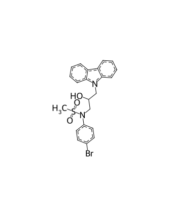 CS(=O)(=O)N(CC(O)Cn1c2ccccc2c2ccccc21)c1ccc(Br)cc1